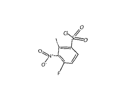 Cc1c(S(=O)(=O)Cl)ccc(F)c1[N+](=O)[O-]